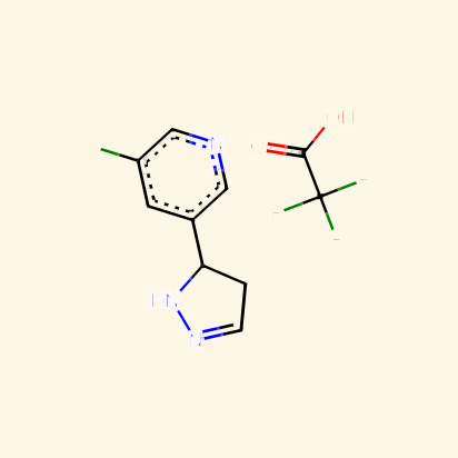 Fc1cncc(C2CC=NN2)c1.O=C(O)C(F)(F)F